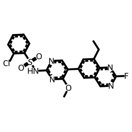 CCc1cc(-c2cnc(NS(=O)(=O)c3ccccc3Cl)nc2OC)cc2cnc(F)nc12